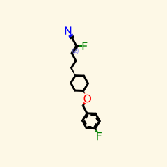 N#C/C(F)=C/CC[C@H]1CC[C@H](OCc2ccc(F)cc2)CC1